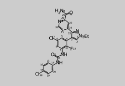 CCn1cc(-c2cc(Cl)cc(NC(=O)Nc3ccc(Cl)cc3)c2F)c(-c2ccnc(C(N)=O)c2)n1